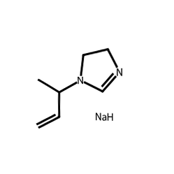 C=CC(C)N1C=NCC1.[NaH]